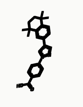 CC1(C)CCC(C)(C)c2cc(-c3cnn(-c4ccc(C(=O)O)cc4)c3)ccc21